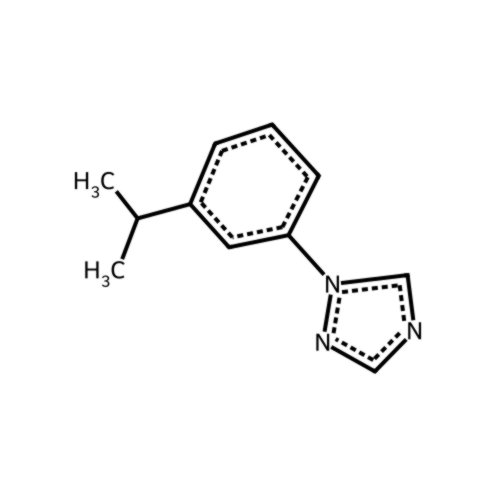 CC(C)c1cccc(-n2cncn2)c1